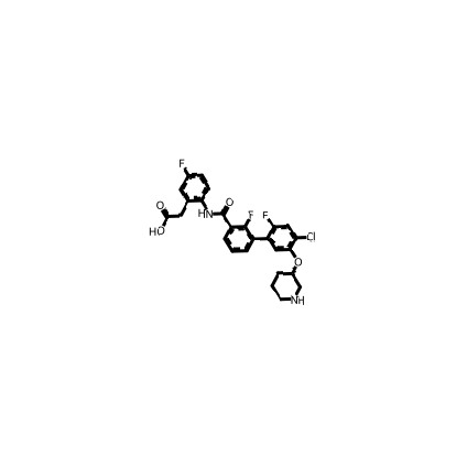 O=C(O)Cc1cc(F)ccc1NC(=O)c1cccc(-c2cc(OC3CCCNC3)c(Cl)cc2F)c1F